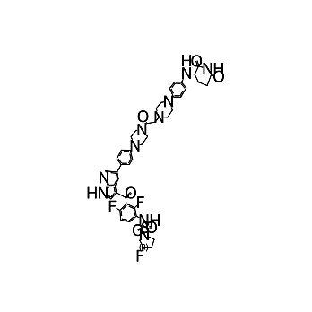 O=C1CCC(Nc2ccc(N3CCN(CC(=O)N4CCN(c5ccc(-c6cnc7[nH]cc(C(=O)c8c(F)ccc(NS(=O)(=O)N9CC[C@@H](F)C9)c8F)c7c6)cc5)CC4)CC3)cc2)C(=O)N1